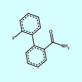 NC(=O)c1c[c]ccc1-c1ccccc1F